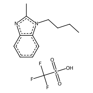 CCCCn1c(C)nc2ccccc21.O=S(=O)(O)C(F)(F)F